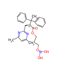 Cc1cc(C)nc(C[C@H](C(=O)OCCCON(O)O)C(C)(c2ccccc2)c2ccccc2)n1